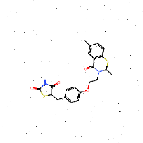 Cc1ccc2c(c1)C(=O)N(CCOc1ccc(CC3SC(=O)NC3=O)cc1)C(C)S2